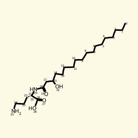 CCCCCCCCCCCCCCCC(O)CC(=O)N[C@@H](CCCN)C(=O)O